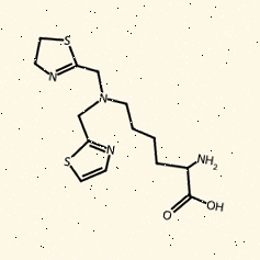 NC(CCCCN(CC1=NCCS1)Cc1nccs1)C(=O)O